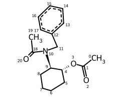 CC(=O)O[C@@H]1CCCC[C@H]1N(Cc1ccccc1)C(C)=O